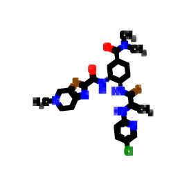 C=C(Nc1ccc(Cl)cn1)C(=S)N[C@H]1CC[C@H](C(=O)N(C)C)C[C@H]1NC(=O)c1nc2c(s1)CN(C)CC2